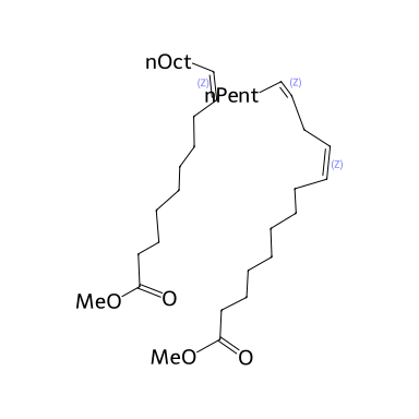 CCCCC/C=C\C/C=C\CCCCCCCC(=O)OC.CCCCCCCC/C=C\CCCCCCCC(=O)OC